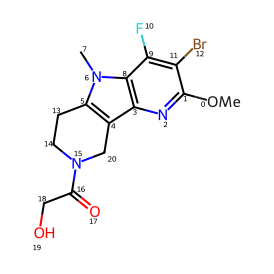 COc1nc2c3c(n(C)c2c(F)c1Br)CCN(C(=O)CO)C3